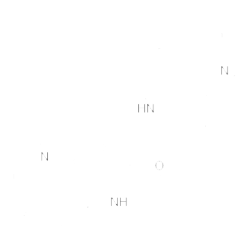 c1cnc2cc(Oc3cc4ncccc4[nH]3)[nH]c2c1